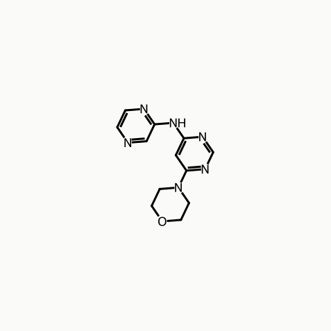 c1cnc(Nc2cc(N3CCOCC3)ncn2)cn1